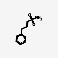 NS(=O)(=O)C=CCc1ccccc1